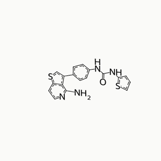 Nc1nccc2scc(-c3ccc(NC(=O)Nc4cccs4)cc3)c12